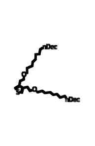 CCCCCCCCCCCCCCCCCCOCCc1cscc1CCOCCCCCCCCCCCCCCCCCC